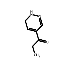 CCC(=O)C1=CCNN=C1